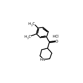 Cc1ccc(C(=O)C2CCNCC2)cc1C.Cl